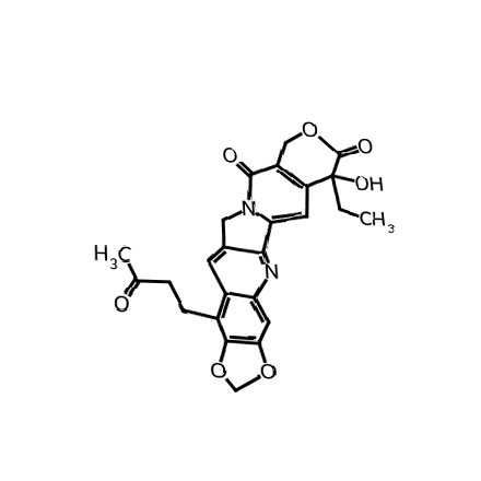 CCC1(O)C(=O)OCc2c1cc1n(c2=O)Cc2cc3c(CCC(C)=O)c4c(cc3nc2-1)OCO4